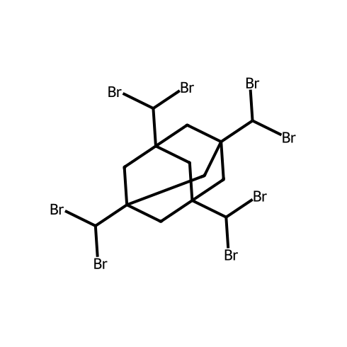 BrC(Br)C12CC3(C(Br)Br)CC(C(Br)Br)(C1)CC(C(Br)Br)(C2)C3